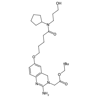 CC(C)(C)COC(=O)CN1Cc2cc(OCCCCC(=O)N(CCCO)C3CCCC3)ccc2N=C1N